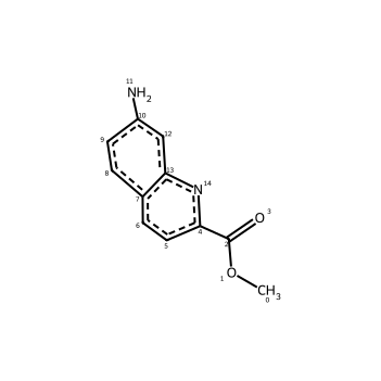 COC(=O)c1ccc2ccc(N)cc2n1